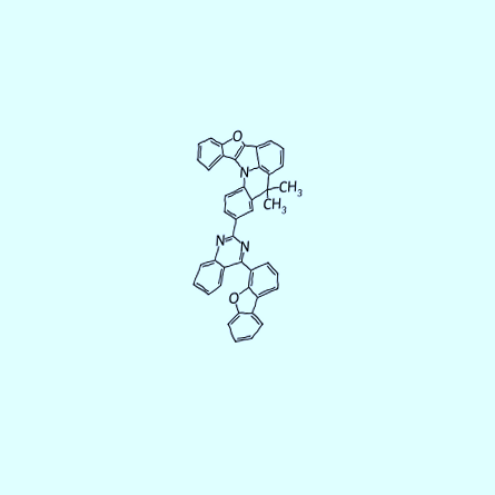 CC1(C)c2cc(-c3nc(-c4cccc5c4oc4ccccc45)c4ccccc4n3)ccc2-n2c3c1cccc3c1oc3ccccc3c12